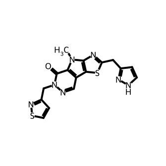 Cn1c2nc(Cc3cc[nH]n3)sc2c2cnn(Cc3ccsn3)c(=O)c21